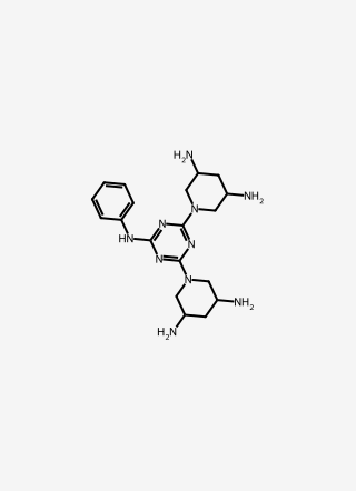 NC1CC(N)CN(c2nc(Nc3ccccc3)nc(N3CC(N)CC(N)C3)n2)C1